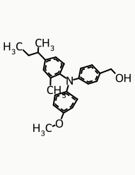 CCC(C)c1ccc(N(c2ccc(CO)cc2)c2ccc(OC)cc2)c(C)c1